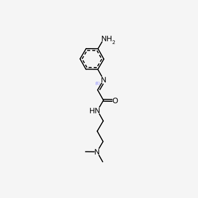 CN(C)CCCNC(=O)/C=N/c1cccc(N)c1